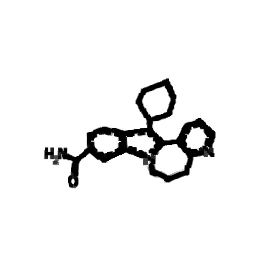 NC(=O)c1ccc2c(C3CCCCC3)c3n(c2c1)CCCc1ncccc1-3